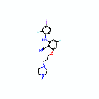 CN1CCN(CCCOc2cc(F)cc(Nc3ccc(I)cc3F)c2C#N)CC1